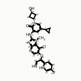 Cn1c(Nc2cc(C3CC3)cn([C@H]3C[C@H](O)C3)c2=O)nc2ncc(O/C(C=N)=C3\C=CC(F)=CN3)c(Cl)c21